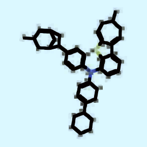 CC1C=C2CC(C1)C(c1ccc(N(C3=CC=C(C4CCCCC4)CC3)c3cccc4c5c(sc34)=CCC(C)CC=5)cc1)C2